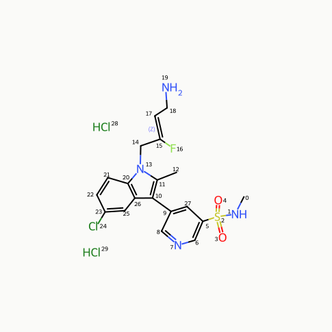 CNS(=O)(=O)c1cncc(-c2c(C)n(C/C(F)=C/CN)c3ccc(Cl)cc23)c1.Cl.Cl